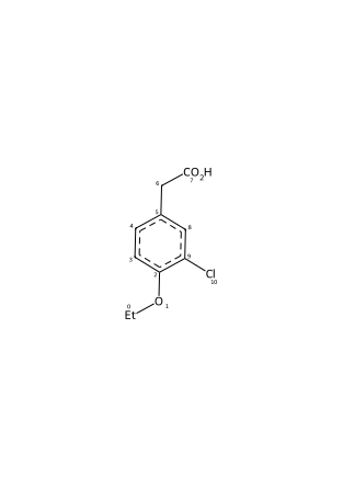 CCOc1ccc(CC(=O)O)cc1Cl